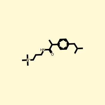 CC(C)Cc1ccc(C(C)C(=O)NCCC[N+](C)(C)C)cc1